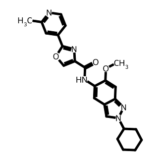 COc1cc2nn(C3CCCCC3)cc2cc1NC(=O)c1coc(-c2ccnc(C)c2)n1